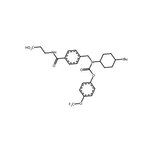 CC(C)(C)C1CCC(N(Cc2ccc(C(=O)NCCC(=O)O)cc2)C(=O)Oc2ccc(OC(F)(F)F)cc2)CC1